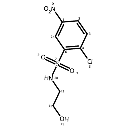 O=[N+]([O-])c1ccc(Cl)c(S(=O)(=O)NCCO)c1